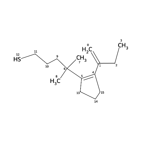 C=C(CC)C1=C(C(C)(C)CCCS)CCC1